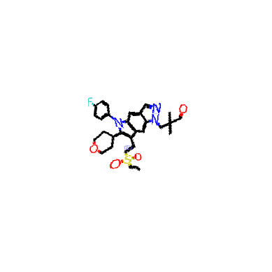 CCS(=O)(=O)/C=C/c1c(C2CCOCC2)n(-c2ccc(F)cc2)c2cc3cnn(CC(C)(C)C=O)c3cc12